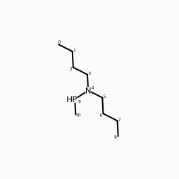 CCCCN(CCCC)PC